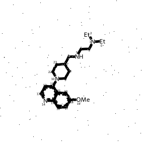 CCN(CC)CCNCC1CCN(c2ccnc3ccc(OC)cc23)CC1